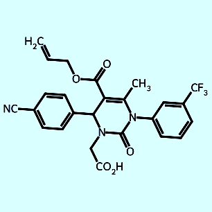 C=CCOC(=O)C1=C(C)N(c2cccc(C(F)(F)F)c2)C(=O)N(CC(=O)O)C1c1ccc(C#N)cc1